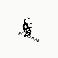 CCn1c2c(c(=O)c3cc(CC(C)C)ccc31)Cc1cc(OC)ccc1-2